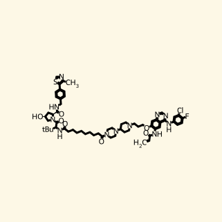 C=CC(=O)Nc1cc2c(Nc3ccc(F)c(Cl)c3)ncnc2cc1OCCCN1CCC(N2CCN(C(=O)CCCCCCCCC(=O)NC(C(=O)N3C[C@H](O)C[C@H]3C(=O)NCc3ccc(-c4scnc4C)cc3)C(C)(C)C)CC2)CC1